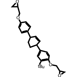 CC(C)(C)c1cc(C2C=CC(c3ccc(OCC4CO4)cc3)CC2)ccc1OCC1CO1